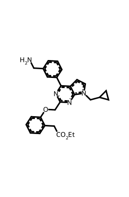 CCOC(=O)Cc1ccccc1OCc1nc(-c2cccc(CN)c2)c2ccn(CC3CC3)c2n1